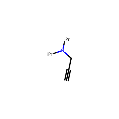 C#CCN(C(C)C)C(C)C